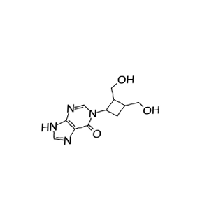 O=c1c2nc[nH]c2ncn1C1CC(CO)C1CO